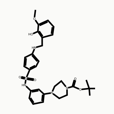 COc1cccc(CNc2ccc(S(=O)(=O)Nc3cccc(N4CCN(C(=O)OC(C)(C)C)CC4)c3)cc2)c1O